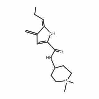 C=c1cc(C(=O)NC2CC[Si](C)(C)CC2)[nH]/c1=C/CC